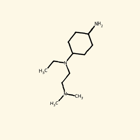 CCN(CCN(C)C)C1CCC(N)CC1